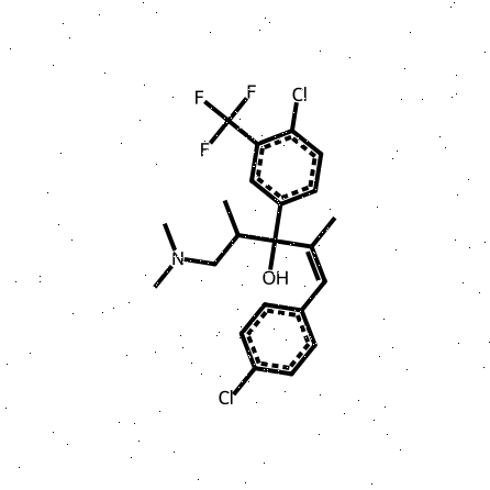 CC(=Cc1ccc(Cl)cc1)C(O)(c1ccc(Cl)c(C(F)(F)F)c1)C(C)CN(C)C